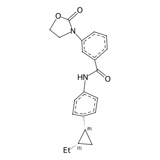 CC[C@H]1C[C@H]1c1ccc(NC(=O)c2cccc(N3CCOC3=O)c2)cc1